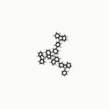 c1ccc(-n2c3ccccc3c3cc(-c4ccc(N(c5ccc(-c6ccc(-n7c8ccccc8c8ccccc87)cc6)cc5)c5ccc(-n6c7ccccc7c7ccccc76)c6ccccc56)c5ccccc45)ccc32)cc1